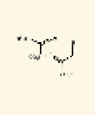 C=C(CC(C)C)C(=O)O.C=C(CCCCC)C(=O)O